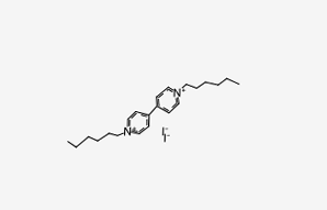 CCCCCC[n+]1ccc(-c2cc[n+](CCCCCC)cc2)cc1.[I-].[I-]